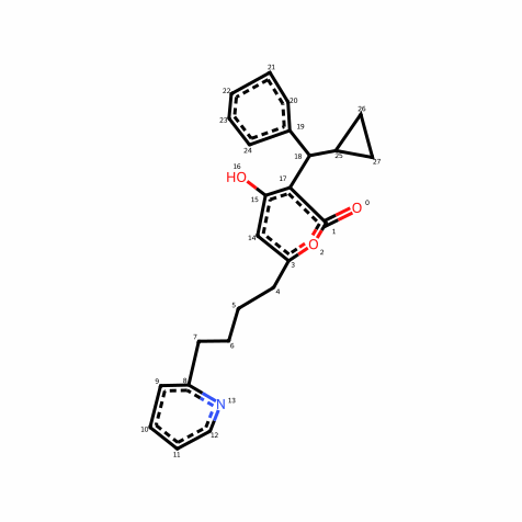 O=c1oc(CCCCc2ccccn2)cc(O)c1C(c1ccccc1)C1CC1